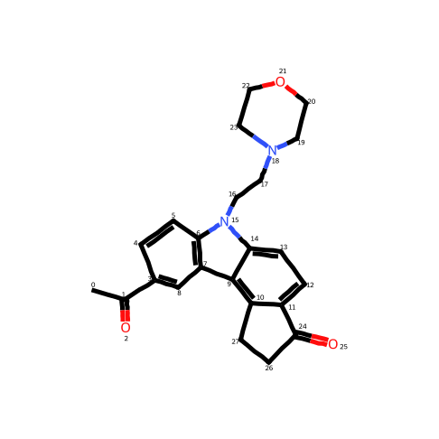 CC(=O)c1ccc2c(c1)c1c3c(ccc1n2CCN1CCOCC1)C(=O)CC3